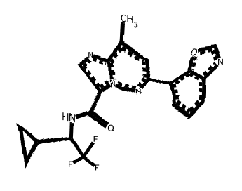 Cc1cc(-c2cccc3ncoc23)nn2c(C(=O)NC(C3CC3)C(F)(F)F)cnc12